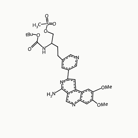 COc1cc2ncc3c(N)nc(-c4cncc(CCC(COS(C)(=O)=O)NC(=O)OC(C)(C)C)c4)cc3c2cc1OC